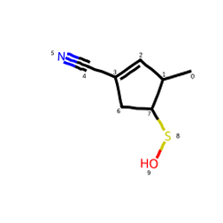 CC1C=C(C#N)CC1SO